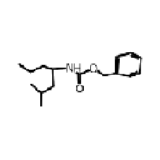 CCCC(CC(C)C)NC(=O)OCc1ccccc1